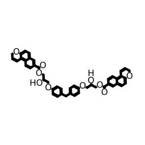 O=C(OCC(O)COc1ccc(Cc2ccc(OCC(O)COC(=O)c3ccc4c5c(ccc4c3)OCC=C5)cc2)cc1)c1ccc2c3c(ccc2c1)OCC=C3